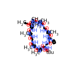 C=CCOC(=O)c1cc(NC(=O)c2cc(NC(=O)CCNC(=O)c3cc(NC(=O)c4cc(NC(=O)[C@H](CCNC(=O)c5nc(NC(=O)c6cc(NC(=O)CCNC(=O)c7nc(NC(=O)c8nccn8C)cn7C)cn6C)cn5C5CC6CCC5C6)NC(=O)OC(C)(C)C)cn4C)cn3C)cn2C)cn1C